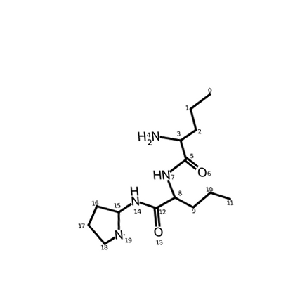 CCCC(N)C(=O)NC(CCC)C(=O)NC1CCC[N]1